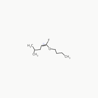 CCCCO/C(F)=C\CC(C)C